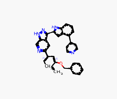 C=C/C(=C\C(=C/C)c1cc2c(-c3cc4c(-c5ccncc5)cccc4[nH]3)n[nH]c2cn1)OCc1ccccc1